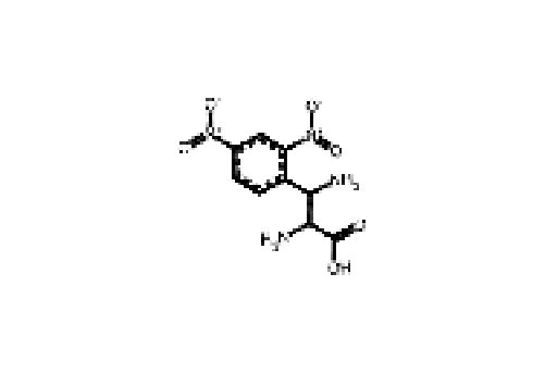 NC(C(=O)O)C(N)c1ccc([N+](=O)[O-])cc1[N+](=O)[O-]